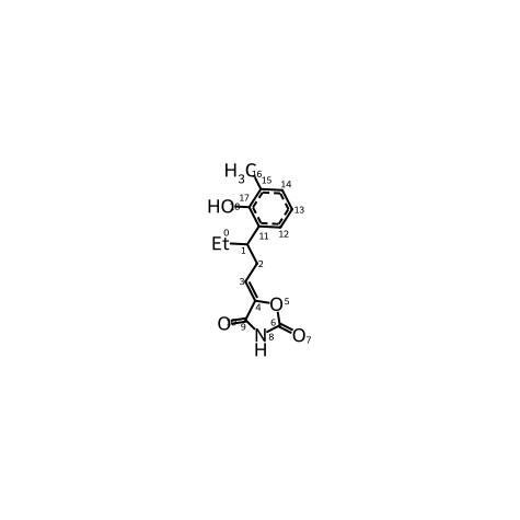 CCC(CC=C1OC(=O)NC1=O)c1cccc(C)c1O